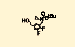 CC(C)(C)OC(=O)N(Cc1cc(CCO)cc(F)c1F)C1CC1